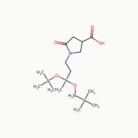 C[Si](C)(C)O[Si](C)(CCN1CC(C(=O)O)CC1=O)O[SiH2][Si](C)(C)C